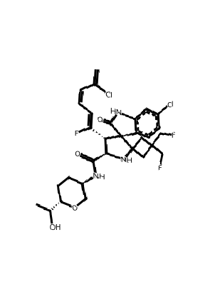 C=C(Cl)/C=C\C=C(/F)[C@H]1[C@H](C(=O)N[C@@H]2CC[C@@H](C(C)O)OC2)NC2(CC(CF)(CF)C2)[C@@]12C(=O)Nc1cc(Cl)ccc12